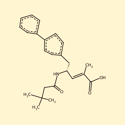 C/C(=C\[C@@H](Cc1ccc(-c2ccccc2)cc1)NC(=O)CC(C)(C)C)C(=O)O